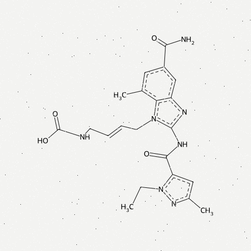 CCn1nc(C)cc1C(=O)Nc1nc2cc(C(N)=O)cc(C)c2n1CC=CCNC(=O)O